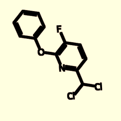 Fc1ccc(C(Cl)Cl)nc1Oc1ccccc1